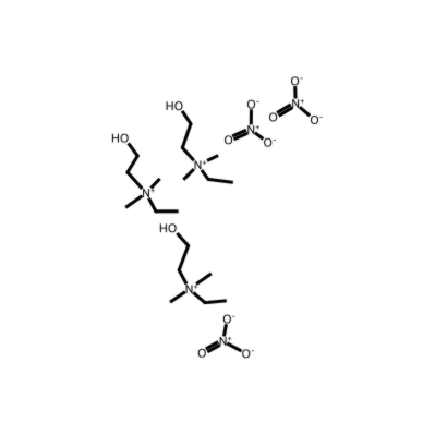 CC[N+](C)(C)CCO.CC[N+](C)(C)CCO.CC[N+](C)(C)CCO.O=[N+]([O-])[O-].O=[N+]([O-])[O-].O=[N+]([O-])[O-]